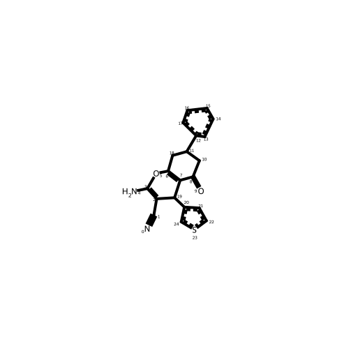 N#CC1=C(N)OC2=C(C(=O)CC(c3ccccc3)C2)C1c1ccsc1